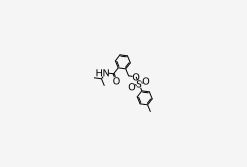 Cc1ccc(S(=O)(=O)OCc2ccccc2C(=O)NC(C)C)cc1